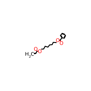 C=CC(=O)OCCCCCCCCOC(=O)c1ccccc1